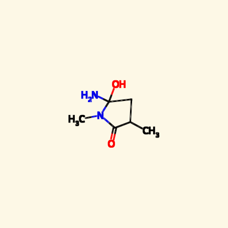 CC1CC(N)(O)N(C)C1=O